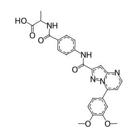 COc1ccc(-c2ccnc3cc(C(=O)Nc4ccc(C(=O)NC(C)C(=O)O)cc4)nn23)cc1OC